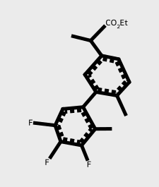 CCOC(=O)C(C)c1ccc(C)c(-c2cc(F)c(F)c(F)c2C)c1